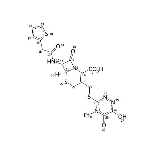 CCn1c(SCC2=C(C(=O)O)N3C(=O)C(NC(=O)Cc4cccs4)[C@@H]3SC2)nnc(O)c1=O